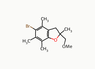 COCC1(C)Cc2c(C)c(Br)c(C)c(C)c2O1